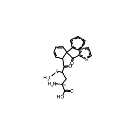 CSC(C[C@H](N)C(=O)O)C(=O)C1C=CC=CC1(C(=O)c1nccs1)c1ccccc1